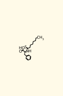 CCCCCCCC(=S)N[C@@H](Cc1ccccc1)C(=O)O